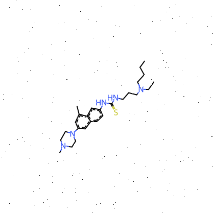 CCCCN(CC)CCCNC(=S)Nc1ccc2cc(N3CCN(C)CC3)cc(C)c2c1